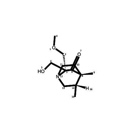 COC[C@]1(CO)C(=O)[C@]2(C)CCN1C[C@H]2C